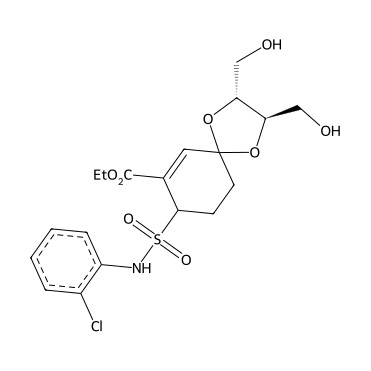 CCOC(=O)C1=CC2(CCC1S(=O)(=O)Nc1ccccc1Cl)O[C@H](CO)[C@@H](CO)O2